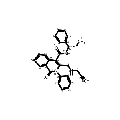 C#CCNCc1c(C(=O)N[C@@H](CC)c2ccccc2)c2ccccc2c(=O)n1-c1ccccc1